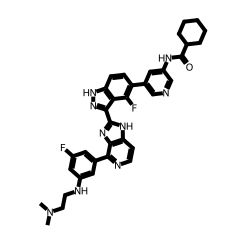 CN(C)CCNc1cc(F)cc(-c2nccc3[nH]c(-c4n[nH]c5ccc(-c6cncc(NC(=O)C7CCCCC7)c6)c(F)c45)nc23)c1